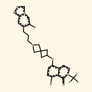 O=c1c2c(Cl)ccc(OC3CC4(C3)CN(CCCc3cc5nncn5cc3F)C4)c2ccn1C(F)(F)F